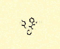 Cn1cc(-c2c[n+](Cc3ccc(Cl)nc3)c3ccccn3c2=O)c2ccc(F)cc21